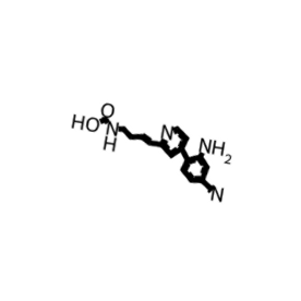 N#Cc1ccc(-c2ccnc(C=CCCNC(=O)O)c2)c(N)c1